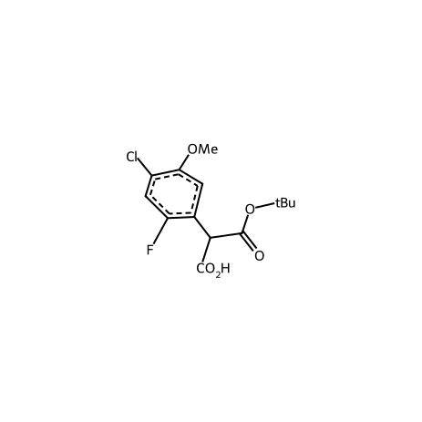 COc1cc(C(C(=O)O)C(=O)OC(C)(C)C)c(F)cc1Cl